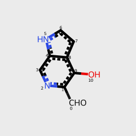 O=Cc1ncc2[nH]ccc2c1O